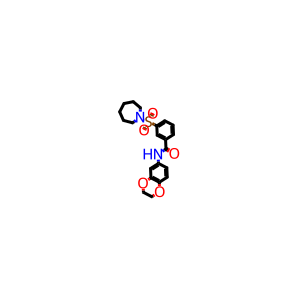 O=C(Nc1ccc2c(c1)OCCO2)c1cccc(S(=O)(=O)N2CCCCCC2)c1